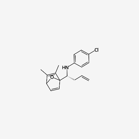 C=CC[C@@H](Nc1ccc(Cl)cc1)C12C=CC(O1)C(C)=C2C